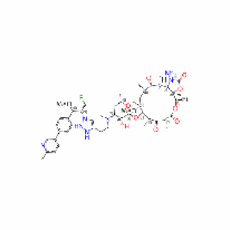 CC[C@H]1OC(=O)[C@H](C)C(=O)[C@H](C)[C@@H](O[C@@H]2O[C@H](C)C[C@H](N(C)CCC3=CN([C@H](CF)[C@H](OC)c4ccc(-c5ccc(C)nc5)cc4)NN3)[C@H]2O)[C@](C)(OC)C[C@@H](C)C(=O)[C@H](C)[C@H]2N(N)C(=O)O[C@]12C